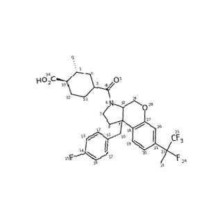 C[C@@H]1CC(C(=O)N2CCC3(Cc4ccc(F)cc4)c4ccc(C(C)(F)C(F)(F)F)cc4OCC23)CC[C@H]1C(=O)O